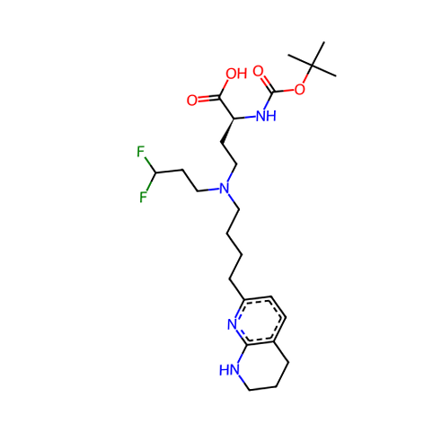 CC(C)(C)OC(=O)N[C@@H](CCN(CCCCc1ccc2c(n1)NCCC2)CCC(F)F)C(=O)O